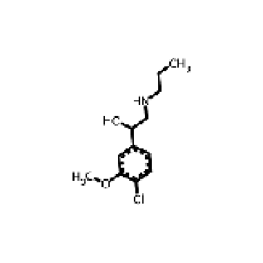 CCCNCC(O)c1ccc(Cl)c(OC)c1